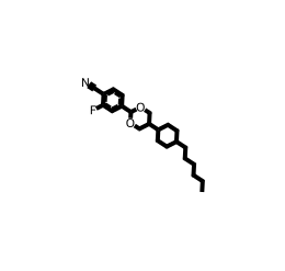 CCCCCCC1CCC(C2COC(c3ccc(C#N)c(F)c3)OC2)CC1